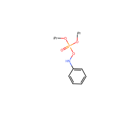 CC(C)OP(=O)(ONc1ccccc1)OC(C)C